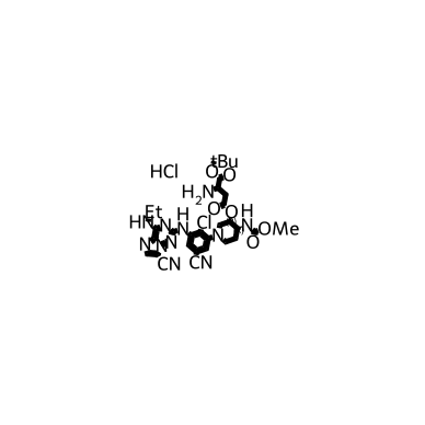 CCNc1nc(Nc2cc(C#N)cc(N3CC[C@@H](NC(=O)OC)[C@H](OC(=O)CC(N)C(=O)OC(C)(C)C)C3)c2Cl)nn2c(C#N)cnc12.Cl